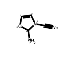 N#CN1C=COC1N